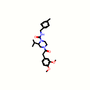 COc1ccc(CC(=O)N2CCN(C(=O)NCc3ccc(C)cc3)C(C(C)C)C2)cc1OC